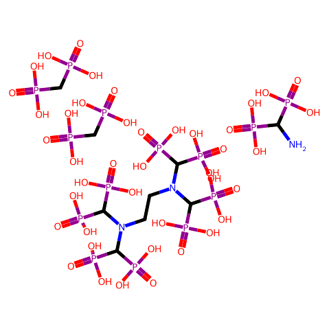 NC(P(=O)(O)O)P(=O)(O)O.O=P(O)(O)C(N(CCN(C(P(=O)(O)O)P(=O)(O)O)C(P(=O)(O)O)P(=O)(O)O)C(P(=O)(O)O)P(=O)(O)O)P(=O)(O)O.O=P(O)(O)CP(=O)(O)O.O=P(O)(O)CP(=O)(O)O